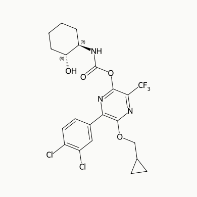 O=C(N[C@@H]1CCCC[C@H]1O)Oc1nc(-c2ccc(Cl)c(Cl)c2)c(OCC2CC2)nc1C(F)(F)F